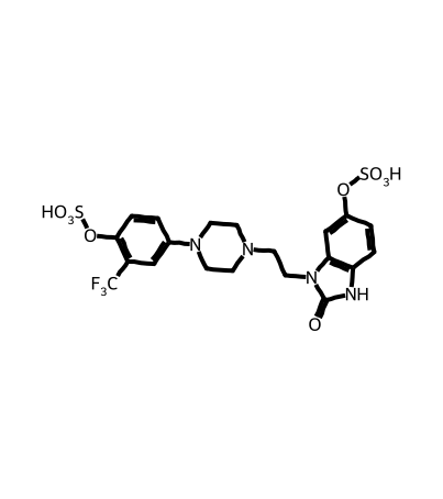 O=c1[nH]c2ccc(OS(=O)(=O)O)cc2n1CCN1CCN(c2ccc(OS(=O)(=O)O)c(C(F)(F)F)c2)CC1